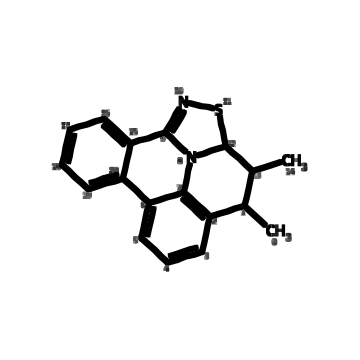 CC1c2cccc3c2N2C(=NSC2C1C)c1ccccc1-3